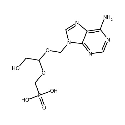 Nc1ncnc2c1ncn2COC(CO)OCP(=O)(O)O